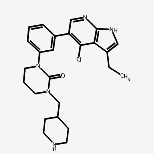 CCc1c[nH]c2ncc(-c3cccc(N4CCCN(CC5CCNCC5)C4=O)c3)c(Cl)c12